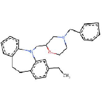 CCc1ccc2c(c1)N(CC1CN(Cc3ccccc3)CCO1)c1ccccc1CC2